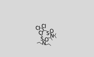 CC(C)N(C(=O)SCC(Cl)=C(Cl)Cl)C(C)C.CCCN(CCC)C(=O)SCC